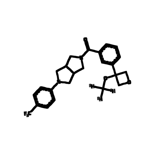 [2H]C([2H])([2H])OC1(c2cccc(C(=O)N3CC4CN(c5ccc(C(F)(F)F)cc5)CC4C3)c2)COC1